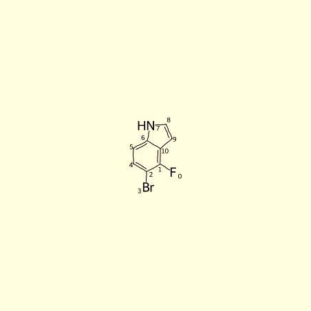 Fc1c(Br)ccc2[nH]ccc12